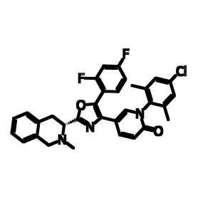 Cc1cc(Cl)cc(C)c1-n1cc(-c2nc([C@H]3Cc4ccccc4CN3C)oc2-c2ccc(F)cc2F)ccc1=O